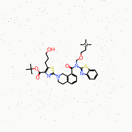 CC(C)(C)OC(=O)c1nc(N2CCc3cccc(C(=O)N(COCC[Si](C)(C)C)c4nc5ccccc5s4)c3C2)sc1CCCO